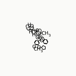 COc1ccc(S(=O)(=O)N(Cc2ccccc2)[C@H](NC(=O)O[C@H]2CO[C@H]3OCC[C@H]32)[C@@H](C)O)cc1OC1CCCC1